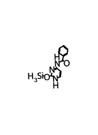 O=C(NC1=NC(O[SiH3])NC=C1)c1ccccc1